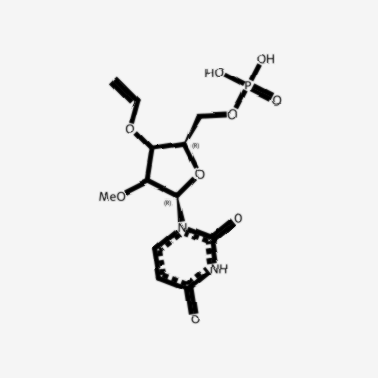 C=COC1C(OC)[C@H](n2ccc(=O)[nH]c2=O)O[C@@H]1COP(=O)(O)O